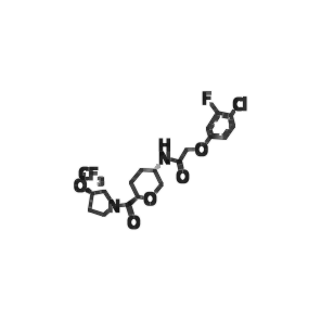 O=C(COc1ccc(Cl)c(F)c1)N[C@H]1CC[C@H](C(=O)N2CC[C@@H](OC(F)(F)F)C2)OC1